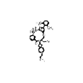 Cc1cccc(C)c1-c1cc2nc(n1)NS(=O)(=O)c1cccc(c1)C(=O)N(C1CC3(CCN(CCC(F)(F)F)CC3)C1)[C@H](CC(C)C)CO2